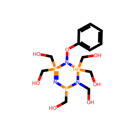 OCN1P(CO)N=P(CO)(CO)N(Oc2ccccc2)[PH]1(CO)CO